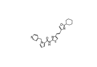 O=C(Nc1nc(C=Cc2coc(C3CCCCC3)n2)cs1)c1cccn1Cc1ccncc1